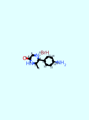 Br.Cc1[nH]c(=O)cnc1-c1ccc(N)cc1